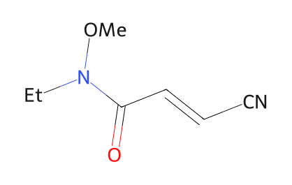 CCN(OC)C(=O)/C=C/C#N